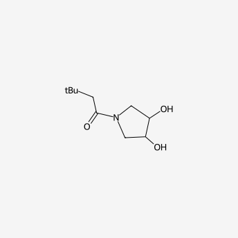 CC(C)(C)CC(=O)N1CC(O)C(O)C1